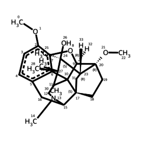 COc1ccc2c3c1O[C@@H]1C34CCN(C)C(C2)[C@]42CC[C@@]1(OC)[C@@H]([C@](C)(O)C(C)(C)C)C2